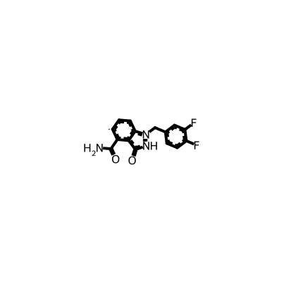 NC(=O)c1[c]ccc2c1c(=O)[nH]n2Cc1ccc(F)c(F)c1